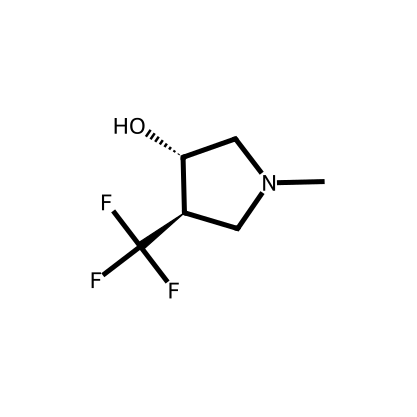 CN1C[C@@H](O)[C@H](C(F)(F)F)C1